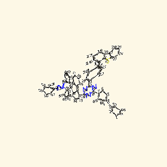 c1ccc(-c2ccc(-c3nc(-c4ccc(-c5cccc6c5sc5ccccc56)cc4)nc(-c4cccc5c4-c4ccccc4C54c5ccccc5N(c5ccccc5)c5ccccc54)n3)cc2)cc1